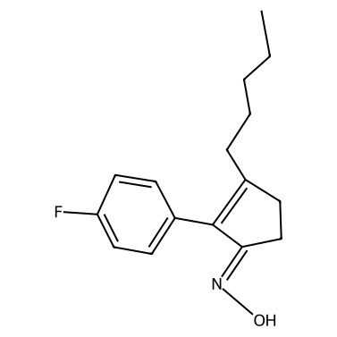 CCCCCC1=C(c2ccc(F)cc2)/C(=N/O)CC1